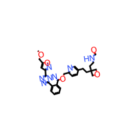 COCc1cc(-c2nnc3c4ccccc4c(OCc4ccc(CCC5(CCNC=O)COC5)cn4)nn23)no1